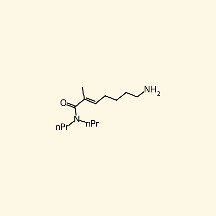 CCCN(CCC)C(=O)C(C)=CCCCCN